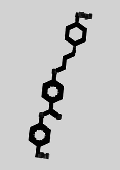 CCCCCCCCc1ccc(OC(=O)c2ccc(OCCC[C@H]3CC[C@H](CCCCCCC)CC3)cc2)cc1